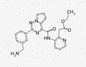 CCOC(=O)Cc1ncccc1NC(=O)c1nc(-c2cccc(CN)c2)nn2cccc12